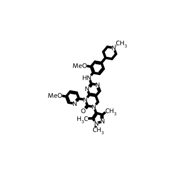 COc1ccc(N2C(=O)N(c3c(C)nn(C)c3C)Cc3cnc(Nc4ccc(C5CCN(C)CC5)cc4OC)nc32)nc1